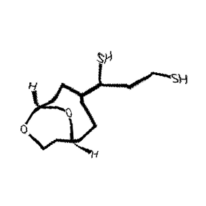 SCCC(S)C1C[C@@H]2CO[C@H](C1)O2